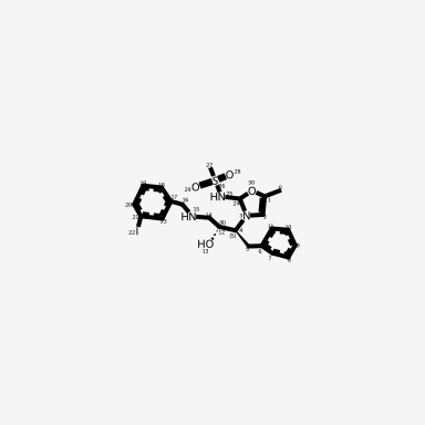 CC1=CN([C@@H](Cc2ccccc2)[C@H](O)CNCc2cccc(I)c2)C(NS(C)(=O)=O)O1